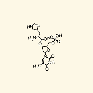 Cc1cn([C@H]2C[C@H](OC(=O)[C@@H](N)Cc3c[nH]cn3)[C@@H](COP(=O)(O)O)O2)c(=O)[nH]c1=O